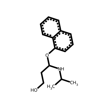 CC(C)NC(CCO)Oc1cccc2ccccc12